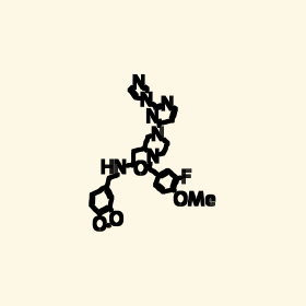 COc1ccc(CN2CCN(c3ccnc(-n4ccnc4)n3)CC2CC(=O)NCCc2ccc3c(c2)OCO3)cc1F